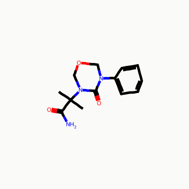 CC(C)(C(N)=O)N1COCN(c2ccccc2)C1=O